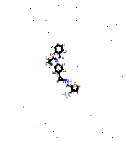 Cc1ccsc1CNC1CC1c1ccc(N(Cc2ccccc2)C(=O)C(F)(F)F)cc1